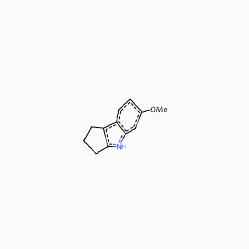 COc1ccc2c3c([nH]c2c1)CCC3